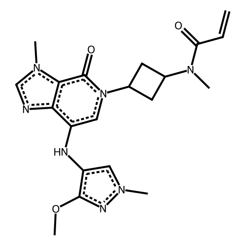 C=CC(=O)N(C)C1CC(n2cc(Nc3cn(C)nc3OC)c3ncn(C)c3c2=O)C1